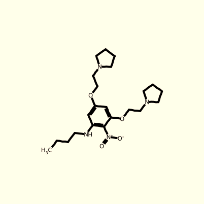 CCCCNc1cc(OCCN2CCCC2)cc(OCCN2CCCC2)c1[N+](=O)[O-]